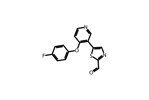 O=Cc1ncc(-c2cnccc2Oc2ccc(F)cc2)s1